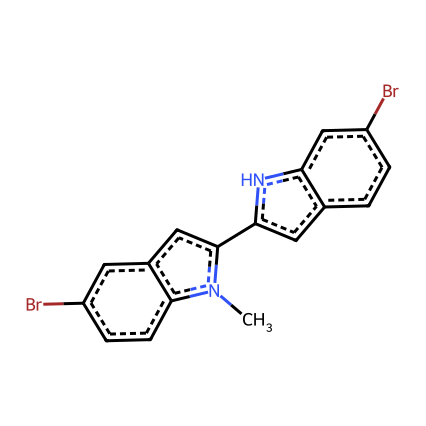 Cn1c(-c2cc3ccc(Br)cc3[nH]2)cc2cc(Br)ccc21